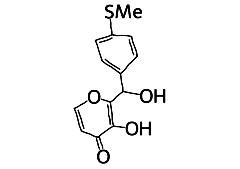 CSc1ccc(C(O)c2occc(=O)c2O)cc1